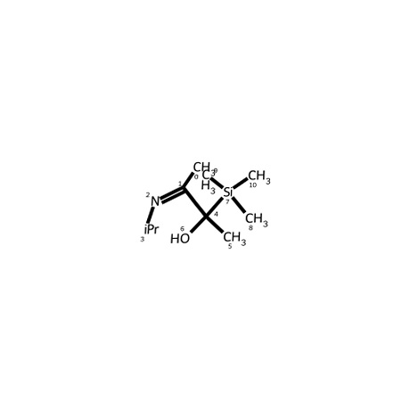 CC(=NC(C)C)C(C)(O)[Si](C)(C)C